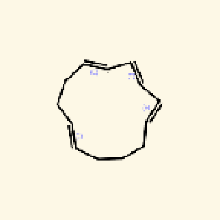 [C]1=C/CC/C=C/CCC/C=C/C=C/1